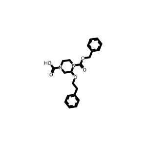 O=C(O)N1CCN(C(=O)OCc2ccccc2)C(OCCc2ccccc2)C1